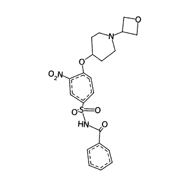 O=C(NS(=O)(=O)c1ccc(OC2CCN(C3COC3)CC2)c([N+](=O)[O-])c1)c1ccccc1